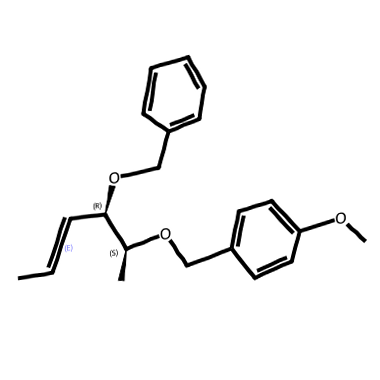 C/C=C/[C@@H](OCc1ccccc1)[C@H](C)OCc1ccc(OC)cc1